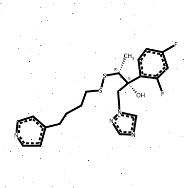 C[C@@H](SSCCCCc1ccncc1)[C@](O)(Cn1cncn1)c1ccc(F)cc1F